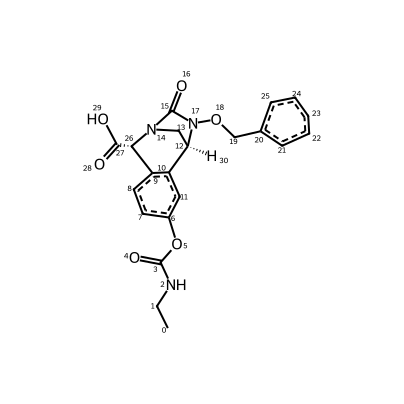 CCNC(=O)Oc1ccc2c(c1)[C@H]1CN(C(=O)N1OCc1ccccc1)[C@H]2C(=O)O